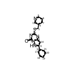 O=c1nc(SCc2cccnc2)nc2cc(-c3ccccc3)[nH]n12